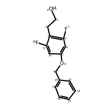 OCCc1c(F)cc(OCc2ccccc2)cc1F